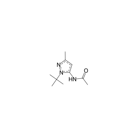 CC(=O)Nc1cc(C)nn1C(C)(C)C